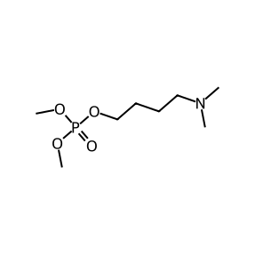 COP(=O)(OC)OCCCCN(C)C